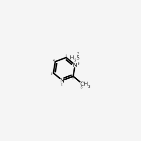 Cc1ncccn1.S